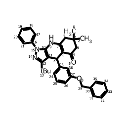 CC1(C)CC(=O)C2=C(C1)Nc1c(c(C(C)(C)C)nn1-c1ccccc1)C2c1cccc(OCc2ccccc2)c1